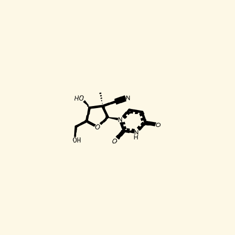 C[C@@]1(C#N)[C@H](O)C(CO)O[C@@H]1n1ccc(=O)[nH]c1=O